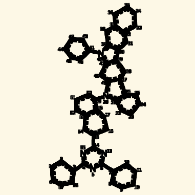 c1ccc(-c2nc(-c3ccccc3)nc(-c3ccc4c(-n5c6ccccc6c6cc7c8cc9ccccc9cc8n(-c8ccccc8)c7cc65)cccc4c3)n2)cc1